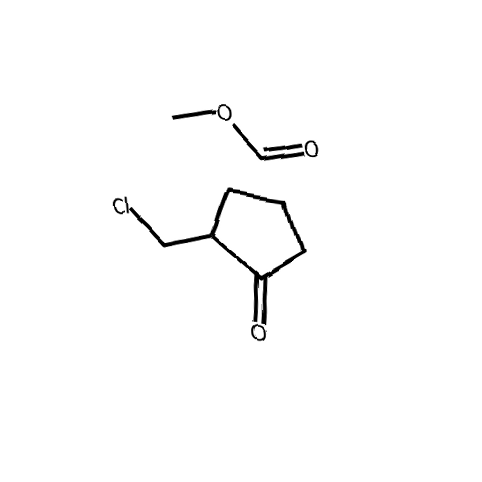 COC=O.O=C1CCCC1CCl